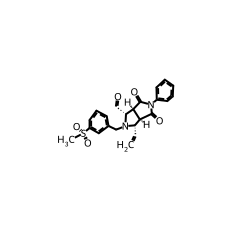 C=C[C@H]1[C@@H]2C(=O)N(c3ccccc3)C(=O)[C@@H]2[C@@H](C=O)N1Cc1cccc(S(C)(=O)=O)c1